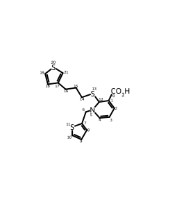 O=C(O)C1=CC=CN(Cc2cccs2)C1SCCCc1ccsc1